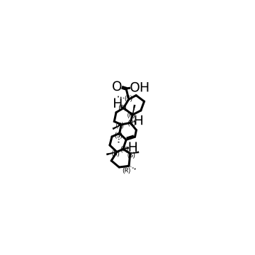 C[C@H]1[C@H](C)CC[C@]2(C)CC[C@]3(C)C(=CC[C@@H]4[C@@]5(C)CCC[C@](C)(C(=O)O)[C@@H]5CC[C@]43C)[C@H]12